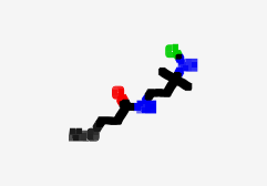 COCCC(=O)NCCC(C)(C)NCl